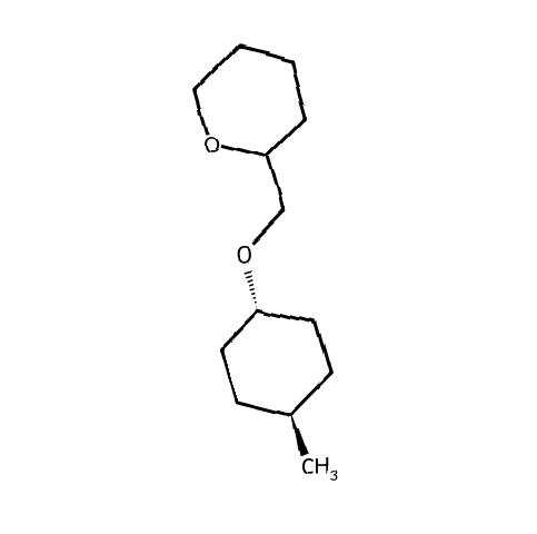 C[C@H]1CC[C@H](OCC2CCCCO2)CC1